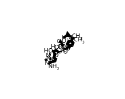 C[C@H](NP(=O)(OC[C@H]1O[C@@](C#N)(c2ccc3c(N)ncnn23)[C@H](O)[C@@H]1O)Oc1ccc(C(C)(C)C)cc1)C(=O)OCC1CC1